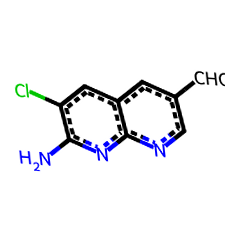 Nc1nc2ncc(C=O)cc2cc1Cl